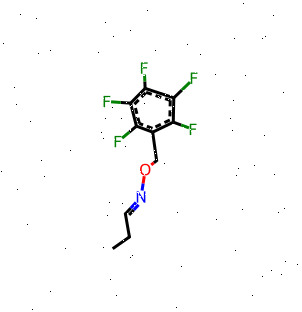 CCC=NOCc1c(F)c(F)c(F)c(F)c1F